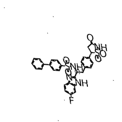 O=C1CC(c2ccc(C[C@H](NS(=O)(=O)c3ccc(-c4ccccc4)cc3)c3nc4ccc(F)cc4[nH]3)cc2)S(=O)(=O)N1